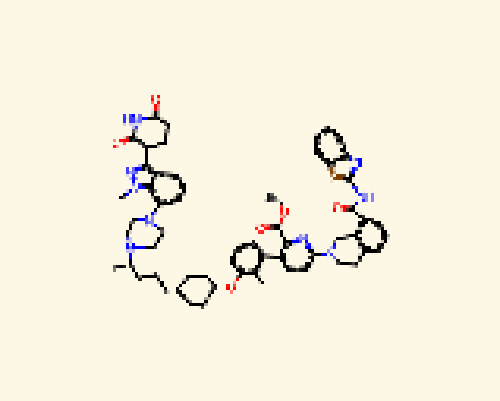 Cc1c(O[C@H]2CC[C@H](CCC[C@@H](C)N3CCN(c4cccc5c(C6CCC(=O)NC6=O)nn(C)c45)CC3)CC2)cccc1-c1ccc(N2CCc3cccc(C(=O)Nc4nc5ccccc5s4)c3C2)nc1C(=O)OC(C)(C)C